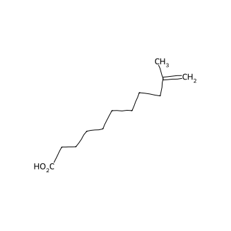 C=C(C)CCCCCCCCC(=O)O